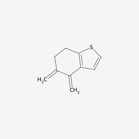 C=C1CCc2sccc2C1=C